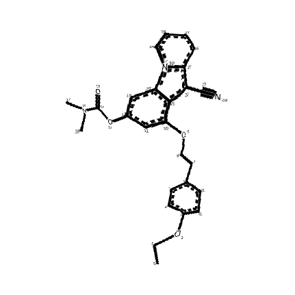 CCOc1ccc(CCOc2cc(OC(=O)N(C)C)cc3c2c(C#N)c2ccccn23)cc1